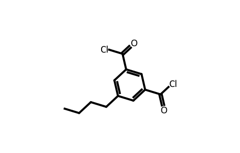 CCCCc1cc(C(=O)Cl)cc(C(=O)Cl)c1